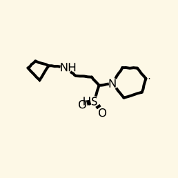 O=[SH](=O)C(CCNC1CCC1)N1CC[CH]CC1